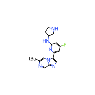 CC(C)(C)c1cn2c(-c3cc(F)cc(NC4CCNC4)n3)cnc2cn1